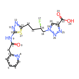 O=C(Cc1ccccn1)Nc1nnc(CC[C@@H](F)Cn2cc(C(=O)O)nn2)s1